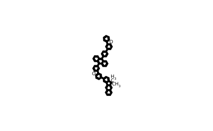 CC1(C)c2ccc(-c3ccc4oc5ccc(-c6c7ccccc7c(-c7ccc(-c8ccc9oc%10ccccc%10c9c8)cc7)c7ccccc67)cc5c4c3)cc2-c2cc3ccccc3cc21